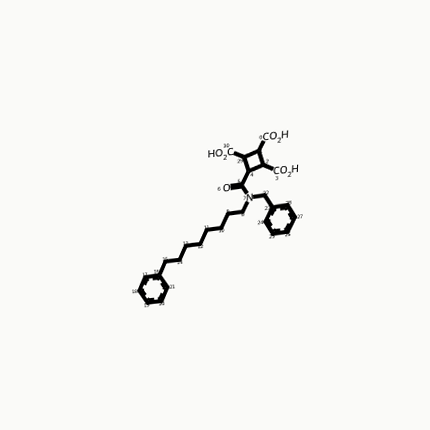 O=C(O)C1C(C(=O)O)C(C(=O)N(CCCCCCCCc2ccccc2)Cc2ccccc2)C1C(=O)O